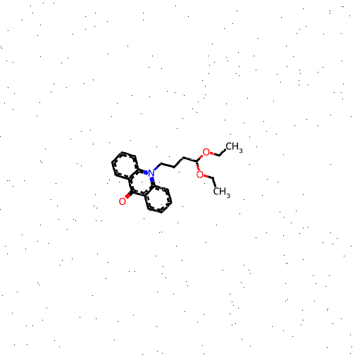 CCOC(CCCn1c2ccccc2c(=O)c2ccccc21)OCC